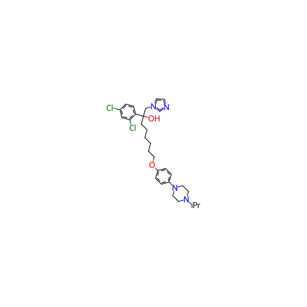 CC(C)N1CCN(c2ccc(OCCCCCCC(O)(Cn3ccnc3)c3ccc(Cl)cc3Cl)cc2)CC1